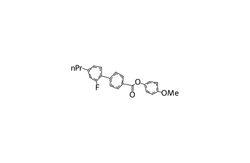 CCCc1ccc(-c2ccc(C(=O)Oc3ccc(OC)cc3)cc2)c(F)c1